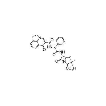 CC1(C)SC2C(NC(=O)C(NC(=O)c3cn4c5c(cccc5c3=O)CC4)c3ccccc3)C(=O)N2C1C(=O)O